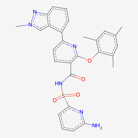 Cc1cc(C)c(Oc2nc(-c3cccc4nn(C)cc34)ccc2C(=O)NS(=O)(=O)c2cccc(N)n2)c(C)c1